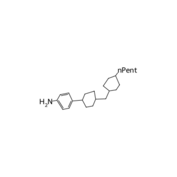 CCCCCC1CCC(CC2CCC(c3ccc(N)cc3)CC2)CC1